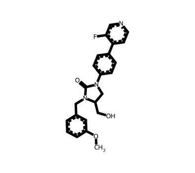 COc1cccc(CN2C(=O)N(c3ccc(-c4ccncc4F)cc3)CC2CO)c1